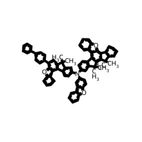 CC1(C)c2cc(N(c3ccc4c(c3)C(C)(C)c3c5c(c6oc7ccccc7c6c3-4)-c3ccccc3C5(C)C)c3ccc4oc5ccccc5c4c3)ccc2-c2c1cc(-c1ccc(-c3ccccc3)cc1)c1oc3ccccc3c21